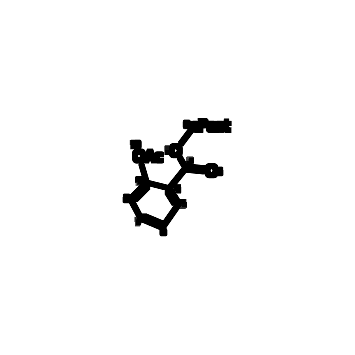 [CH2]CCCCOC(=O)c1ccccc1OC(C)=O